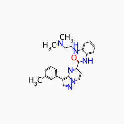 Cc1cccc(-c2cnn3ccc(C(=O)Nc4ccccc4NCCN(C)C)nc23)c1